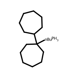 CCCCC1(C2CCCCCC2)CCCCCC1.P